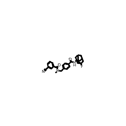 CN(Cc1ccc(C(=O)NC23CC4CC(CC(F)(C4)C2)C3)cc1)C(=O)c1cccc(C#N)c1